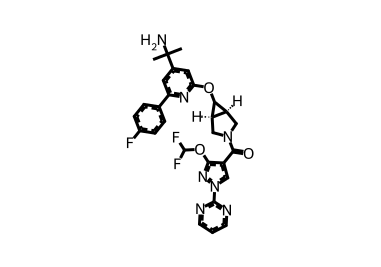 CC(C)(N)c1cc(OC2[C@H]3CN(C(=O)c4cn(-c5ncccn5)nc4OC(F)F)C[C@@H]23)nc(-c2ccc(F)cc2)c1